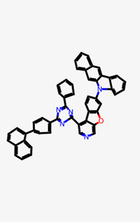 c1ccc(-c2nc(-c3ccc(-c4cccc5ccccc45)cc3)nc(-c3cncc4oc5cc(-n6c7ccccc7c7cc8ccccc8cc76)ccc5c34)n2)cc1